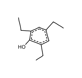 CCc1cc(CC)c(O)c(CC)c1